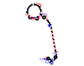 CO[C@H]1C[C@@H]2CC[C@@H](C)[C@@](O)(O2)C(=O)C(=O)N2CCCC[C@H]2C(=O)O[C@H]([C@H](N)C[C@@H]2CC[C@@H](OCCCCc3cn(CCOCCOCCOCCOCCOCCOCCC(=O)NCc4ccc(Cn5nc(-c6ccc7oc(N)nc7c6)c6c(N)ncnc65)cc4)nn3)[C@H](OC)C2)CC(=O)[C@H](C)/C=C(\C)[C@@H](O)[C@@H](O)C(=O)[C@H](C)C[C@H](C)/C=C/C=C/C=C/1C